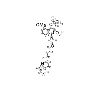 COc1cccc(C(C(=O)O)N2CC(OCCCCCc3ccc4c(n3)NCCC4)C2)c1C1CCC(C)(C)O1